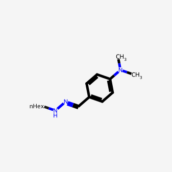 CCCCCCNN=Cc1ccc(N(C)C)cc1